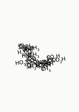 Cc1cc(C)c(NC(=O)Nc2cc(C(=O)O)cc(C(=O)O)c2)c(C)c1/N=c1/cc2oc3cc(Nc4c(C)cc(C)c(NC(=O)Nc5ccccc5)c4C)ccc3c(-c3ccccc3S(=O)(=O)O)c-2cc1S(=O)(=O)O